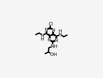 CCNc1nc(NCC(C)O)nc2c(NCC)nc(Cl)nc12